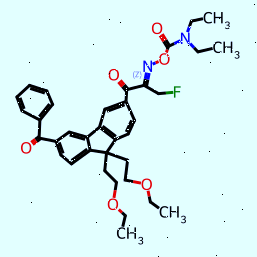 CCOCCC1(CCOCC)c2ccc(C(=O)/C(CF)=N/OC(=O)N(CC)CC)cc2-c2cc(C(=O)c3ccccc3)ccc21